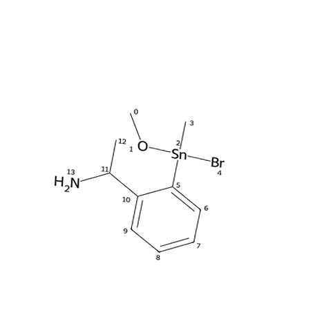 C[O][Sn]([CH3])([Br])[c]1ccccc1C(C)N